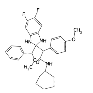 COc1ccc(C(C(=O)NC2CCCCC2)C2(C(OC)c3ccccc3)Nc3cc(F)c(F)cc3N2)cc1